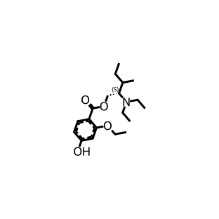 CCOc1cc(O)ccc1C(=O)OC[C@H](C(C)CC)N(CC)CC